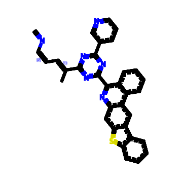 C=N/C=C\C=C(/C)c1nc(-c2cccnc2)nc(-c2nc3cc4sc5ccccc5c4cc3c3ccccc23)n1